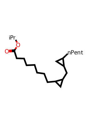 CCCCCC1CC1CC1CC1CCCCCCCC(=O)OC(C)C